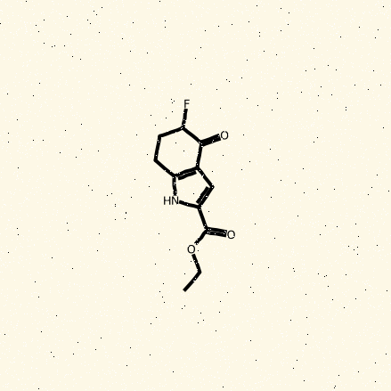 CCOC(=O)c1cc2c([nH]1)CCC(F)C2=O